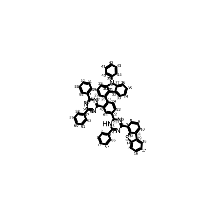 c1ccc(C2=NC(c3cccc4c3sc3ccccc34)=NC(c3ccc(-c4cccc5c4c4ccccc4n5-c4ccccc4)c(-c4nc(-c5ccccc5)nc(-c5ccccc5)n4)c3)N2)cc1